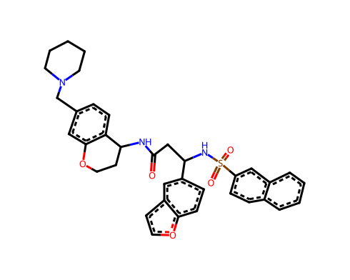 O=C(CC(NS(=O)(=O)c1ccc2ccccc2c1)c1ccc2occc2c1)NC1CCOc2cc(CN3CCCCC3)ccc21